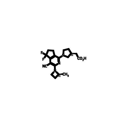 C[C@H]1CCN1c1nc(N2CC[C@@H](CC(=O)O)C2)c2c(c1C#N)C(F)(F)CC2